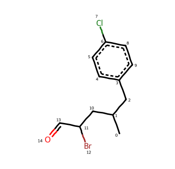 CC(Cc1ccc(Cl)cc1)CC(Br)C=O